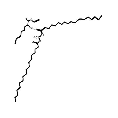 C=COC(C)C(S)CCCCCC.CCCCCCCCCCCCCCCCCC(=O)O[SiH2]OC(=O)CCCCCCCCCCCCCCCCC